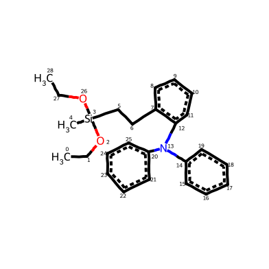 CCO[Si](C)(CCc1ccccc1N(c1ccccc1)c1ccccc1)OCC